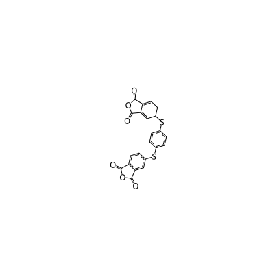 O=C1OC(=O)C2=CC(Sc3ccc(Sc4ccc5c(c4)C(=O)OC5=O)cc3)CC=C12